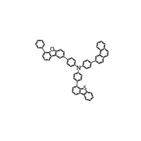 c1ccc(-c2cccc3c2oc2ccc(-c4ccc(N(c5ccc(-c6ccc7ccc8ccccc8c7c6)cc5)c5ccc(-c6cccc7c6sc6ccccc67)cc5)cc4)cc23)cc1